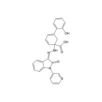 O=C1/C(=N\NC2(C(=O)O)C=CC=C(c3ccccc3O)C2)c2ccccc2N1c1cccnc1